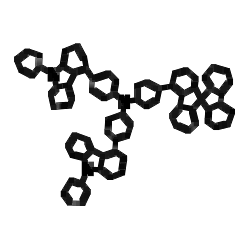 c1ccc(-n2c3ccccc3c3c(-c4ccc(N(c5ccc(-c6cccc7c6-c6ccccc6C76c7ccccc7-c7ccccc76)cc5)c5ccc(-c6cccc7c6c6ccccc6n7-c6ccccc6)cc5)cc4)cccc32)cc1